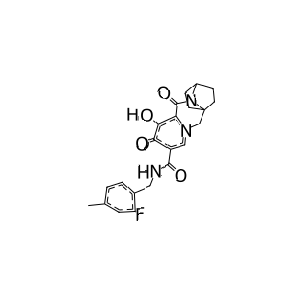 Cc1ccc(CNC(=O)c2cn3c(c(O)c2=O)C(=O)N2C4CCC2(CC4)C3)c(F)c1